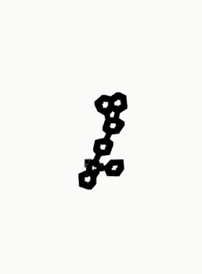 c1ccc(-n2c(-c3ccc(-c4ccc5c(c4)-c4cccc6cccc-5c46)cc3)nc3ccccc32)cc1